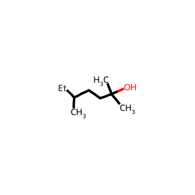 CCC(C)CCC(C)(C)O